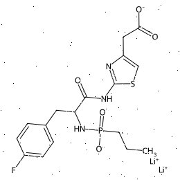 CCCP(=O)([O-])NC(Cc1ccc(F)cc1)C(=O)Nc1nc(CC(=O)[O-])cs1.[Li+].[Li+]